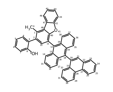 Cc1c(-c2ccccc2O)cc(-c2c3ccccc3c(-c3cc4ccccc4c4ccccc34)c3ccccc23)c2oc3ccccc3c12